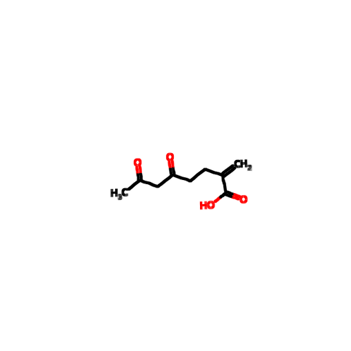 C=C(CCC(=O)CC(C)=O)C(=O)O